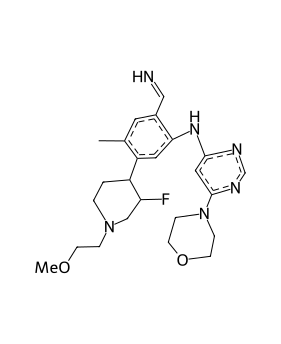 COCCN1CCC(c2cc(Nc3cc(N4CCOCC4)ncn3)c(C=N)cc2C)C(F)C1